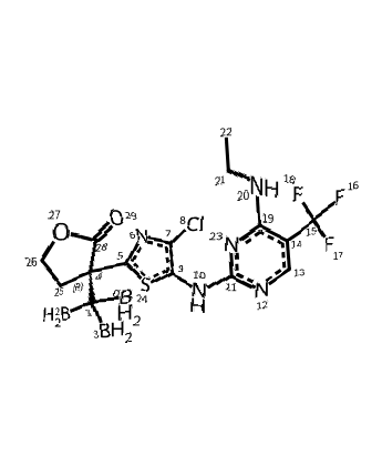 BC(B)(B)[C@@]1(c2nc(Cl)c(Nc3ncc(C(F)(F)F)c(NCC)n3)s2)CCOC1=O